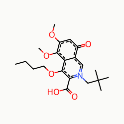 CCCCOc1c2c(OC)c(OC)cc(=O)c-2cn(CC(C)(C)C)c1C(=O)O